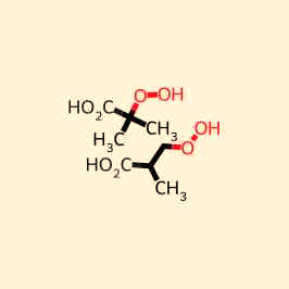 CC(C)(OO)C(=O)O.CC(COO)C(=O)O